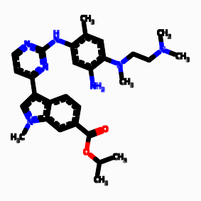 Cc1cc(N(C)CCN(C)C)c(N)cc1Nc1nccc(-c2cn(C)c3cc(C(=O)OC(C)C)ccc23)n1